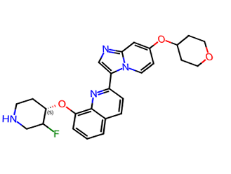 FC1CNCC[C@@H]1Oc1cccc2ccc(-c3cnc4cc(OC5CCOCC5)ccn34)nc12